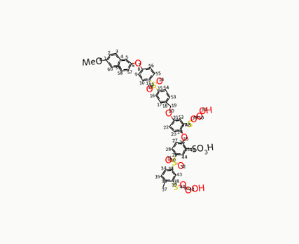 COc1ccc2cc(Oc3ccc(S(=O)(=O)c4ccc(COc5ccc(Oc6ccc(S(=O)(=O)c7ccc(C)c(SOOO)c7)cc6S(=O)(=O)O)c(SOOO)c5)cc4)cc3)ccc2c1